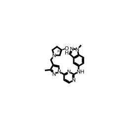 Cc1nn(-c2ccnc(Nc3ccc4c(cnn4C)c3)n2)cc1CN1CC[C@@H](O)C1